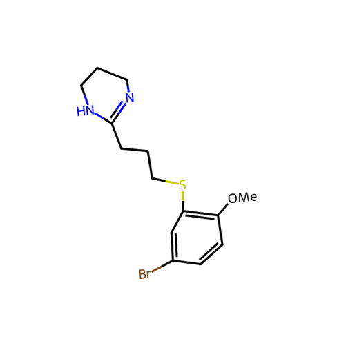 COc1ccc(Br)cc1SCCCC1=NCCCN1